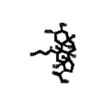 COC(=O)[C@H]1CC[C@H]2[C@@H]3CC[C@H]4C[C@H](OC(C)=O)[C@@H](OC(C)=O)C[C@]4(C)[C@H]3[C@H](NCCC(C)C)C[C@]12C